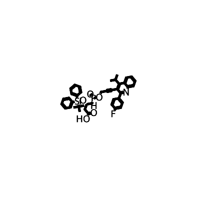 CC(C)c1c(C#CCO[PH](=O)CC(CC(=O)O)O[Si](c2ccccc2)(c2ccccc2)C(C)(C)C)c(-c2ccc(F)cc2)nc2ccccc12